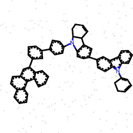 C1=CCCC(n2c3ccccc3c3cc(-c4ccc5c(c4)C4C=CCCC4N5c4ccc(-c5cccc(-c6cc7ccc8ccccc8c7c7ccccc67)c5)cc4)ccc32)=C1